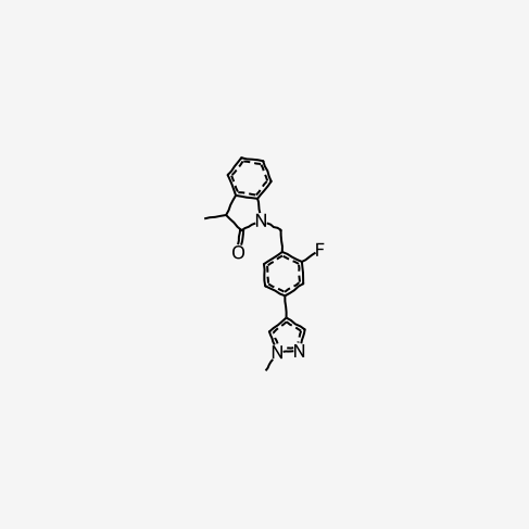 CC1C(=O)N(Cc2ccc(-c3cnn(C)c3)cc2F)c2ccccc21